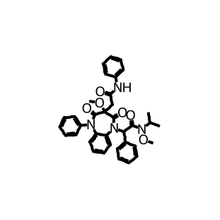 CON(C(=O)C(c1ccccc1)N1C(=O)C(CC(=O)Nc2ccccc2)(OC)C(=O)N(c2ccccc2)c2ccccc21)C(C)C